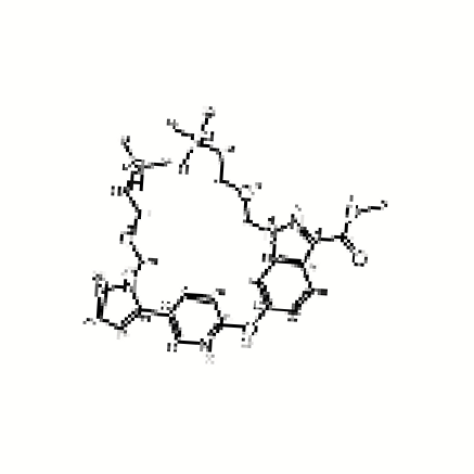 COC(=O)c1nn(COCC[Si](C)(C)C)c2cc(Oc3ccc(-c4ccnn4COCC[SiH](C)C)cn3)ccc12